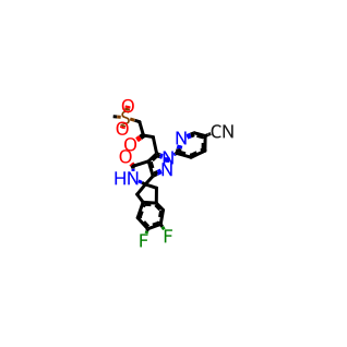 CS(=O)(=O)CC(=O)Cc1c2c(nn1-c1ccc(C#N)cn1)C1(Cc3cc(F)c(F)cc3C1)NC2=O